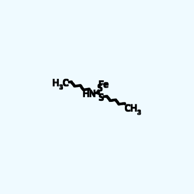 CCCCCCNC(=S)SCCCCCC.[Fe]